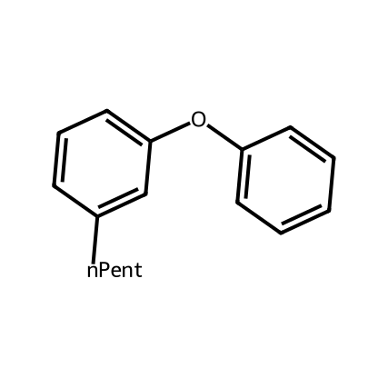 CCCCCc1cccc(Oc2ccccc2)c1